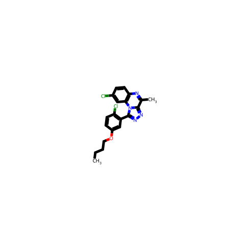 CCCCOc1ccc(Cl)c(-c2nnc3c(C)nc4ccc(Cl)cc4n23)c1